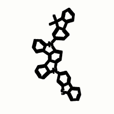 CC1(C)c2ccccc2-c2ccc(-n3c4ccccc4c4c5c6ccccc6n(-c6ccc7c(c6)sc6ccccc67)c5ccc43)cc21